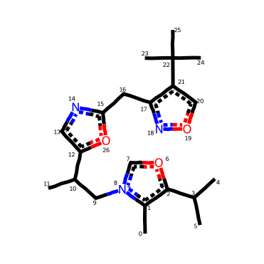 Cc1c(C(C)C)oc[n+]1CC(C)c1cnc(Cc2nocc2C(C)(C)C)o1